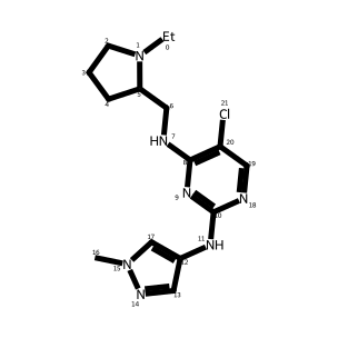 CCN1CCCC1CNc1nc(Nc2cnn(C)c2)ncc1Cl